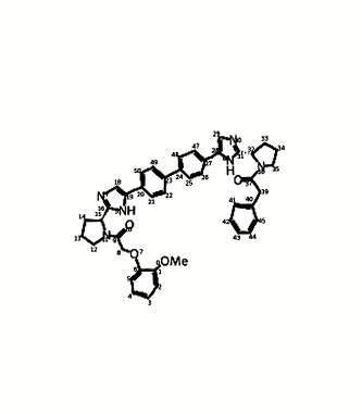 COc1ccccc1OCC(=O)N1CCC[C@H]1c1ncc(-c2ccc(-c3ccc(-c4cnc([C@@H]5CCCN5C(=O)Cc5ccccc5)[nH]4)cc3)cc2)[nH]1